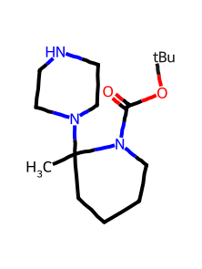 CC(C)(C)OC(=O)N1CCCCC1(C)N1CCNCC1